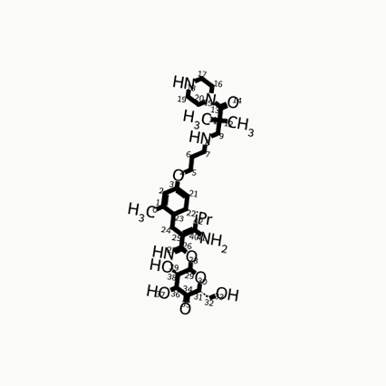 CC1=CC(OCCCNCC(C)(C)C(=O)N2CCNCC2)=CCC1C/C(C(=N)OC1O[C@H](CO)C(=O)C(O)[C@H]1O)=C(/N)C(C)C